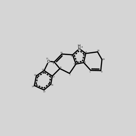 C1=Cc2c([nH]c3c2CC2C(=C3)Oc3ccccc32)CC1